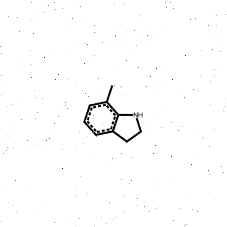 [CH2]c1cccc2c1NCC2